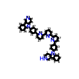 C1=Cc2c(c3ccccc3n2-c2ccc(-c3cccc(-c4cccc(-c5cccc(-c6ccc(-n7c8ccccc8c8cnccc87)cc6)n5)n4)n3)cc2)CN1